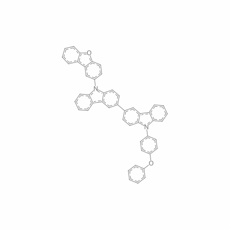 c1ccc(Oc2ccc(-n3c4ccccc4c4cc(-c5ccc6c(c5)c5ccccc5n6-c5ccc6oc7ccccc7c6c5)ccc43)cc2)cc1